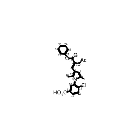 CC(=O)SC(=Cc1cc(C)n(-c2cc(C(=O)O)ccc2Cl)c1C)C(=O)Oc1ccccc1